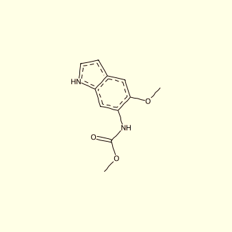 COC(=O)Nc1cc2[nH]ccc2cc1OC